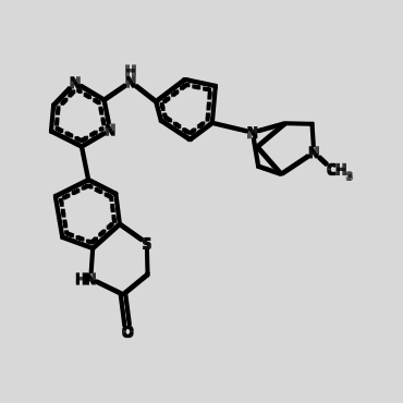 CN1CC2CC1CN2c1ccc(Nc2nccc(-c3ccc4c(c3)SCC(=O)N4)n2)cc1